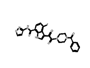 O=C(Nc1ccon1)c1ccc(F)c2c(C(=O)C(=O)N3CCN(C(=O)c4ccccc4)CC3)c[nH]c12